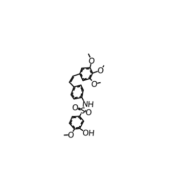 COc1ccc(S(=O)(=O)Nc2ccc(/C=C\c3cc(OC)c(OC)c(OC)c3)cc2)cc1O